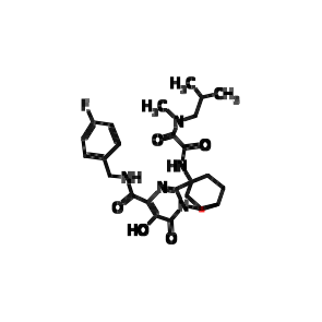 CC(C)CN(C)C(=O)C(=O)NC12CCC(CC1)Cn1c2nc(C(=O)NCc2ccc(F)cc2)c(O)c1=O